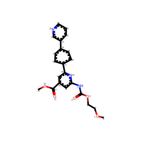 COCCOC(=O)Nc1cc(C(=O)OC)cc(-c2ccc(-c3cccnc3)cc2)n1